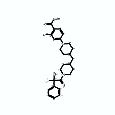 CNC(=O)c1ccc(N2CCC(CC3CCN(C(=O)C(O)(c4ccccc4)C(F)(F)F)CC3)CC2)cc1Cl